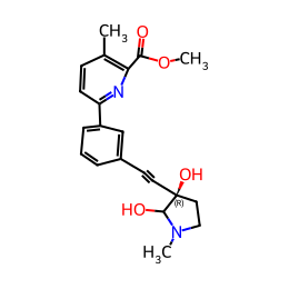 COC(=O)c1nc(-c2cccc(C#C[C@]3(O)CCN(C)C3O)c2)ccc1C